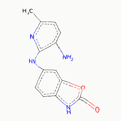 Cc1ccc(N)c(Nc2ccc3[nH]c(=O)oc3c2)n1